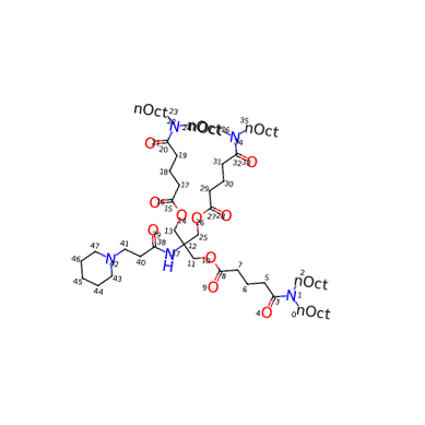 CCCCCCCCN(CCCCCCCC)C(=O)CCCC(=O)OCC(COC(=O)CCCC(=O)N(CCCCCCCC)CCCCCCCC)(COC(=O)CCCC(=O)N(CCCCCCCC)CCCCCCCC)NC(=O)CCN1CCCCC1